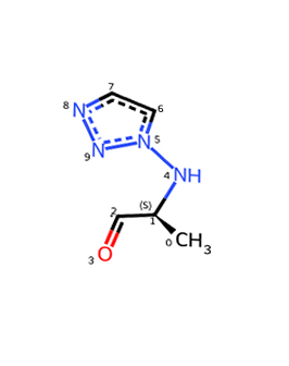 C[C@@H]([C]=O)Nn1ccnn1